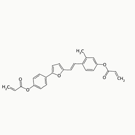 C=CC(=O)Oc1ccc(-c2ccc(/C=C/c3ccc(OC(=O)C=C)cc3C)o2)cc1